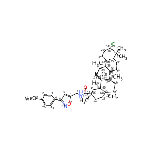 COc1ccc(-c2cc(CNC(=O)[C@@]3(C)CC[C@]4(C)CC[C@@]5(C)C(=CCC6[C@@]7(C)CC[C@H](Cl)C(C)(C)C7CC[C@]65C)[C@@H]4C3)on2)cc1